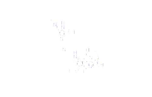 COc1cc(C(=O)NC2CC3(CCN(CC4CCN(c5cc(OC)c(NC6CCC(=O)NC6=O)cc5F)CC4)CC3)C2)c(F)cc1Nc1ncc2c(n1)N(C(C)C)CC(F)(F)C(=O)N2C